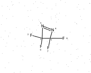 FC1(F)N=NC1(F)F